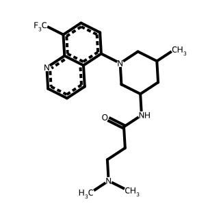 CC1CC(NC(=O)CCN(C)C)CN(c2ccc(C(F)(F)F)c3ncccc23)C1